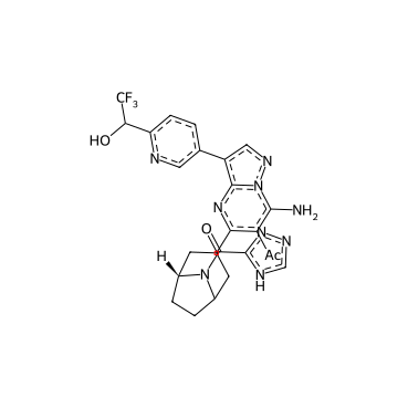 CC(=O)c1c(C2CC3CC[C@H](C2)N3C(=O)c2nnc[nH]2)nc2c(-c3ccc(C(O)C(F)(F)F)nc3)cnn2c1N